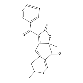 CC1CC2=CC3=C(C(=O)c4ccccc4)C(=O)OC3(C)C(=O)C2=CO1